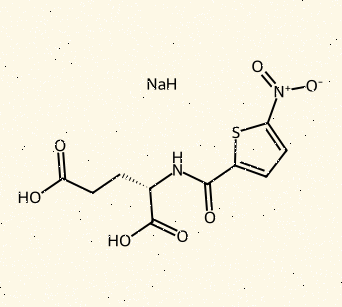 O=C(O)CC[C@H](NC(=O)c1ccc([N+](=O)[O-])s1)C(=O)O.[NaH]